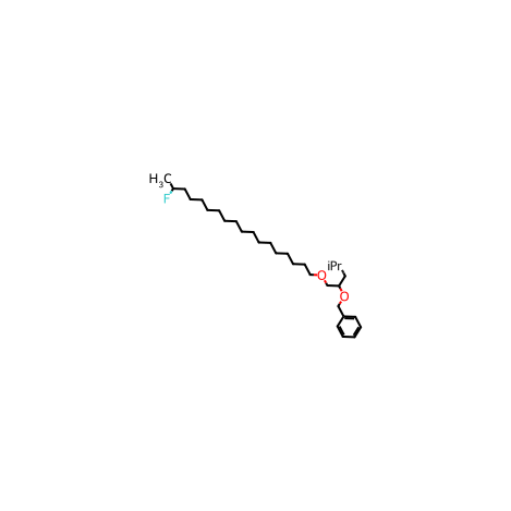 CC(C)CC(COCCCCCCCCCCCCCCCCC(C)F)OCc1ccccc1